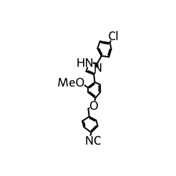 [C-]#[N+]c1ccc(COc2ccc(-c3c[nH]c(-c4ccc(Cl)cc4)n3)c(OC)c2)cc1